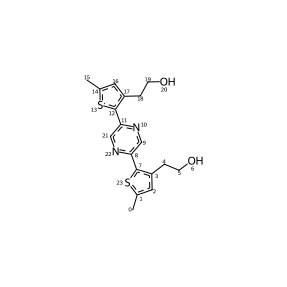 Cc1cc(CCO)c(-c2cnc(-c3sc(C)cc3CCO)cn2)s1